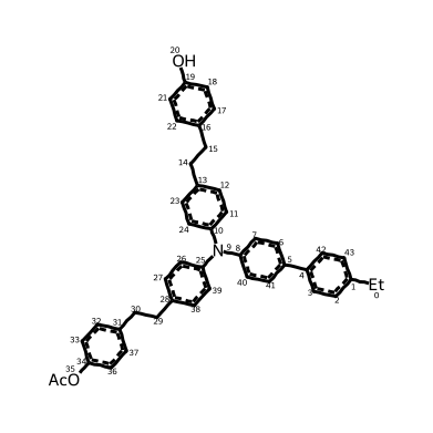 CCc1ccc(-c2ccc(N(c3ccc(CCc4ccc(O)cc4)cc3)c3ccc(CCc4ccc(OC(C)=O)cc4)cc3)cc2)cc1